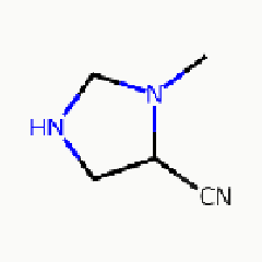 CN1CNCC1C#N